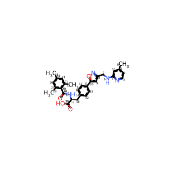 Cc1ccnc(NCc2cc(-c3ccc(C[C@H](NC(=O)c4c(C)cc(C)cc4C)C(=O)O)cc3)on2)c1